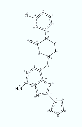 Nc1ncc(CN2CCN(c3cccc(Cl)c3)C(=O)C2)c2nc(-c3ccco3)nn12